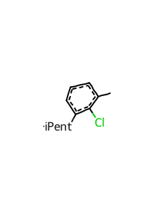 CCC[C](C)c1cccc(C)c1Cl